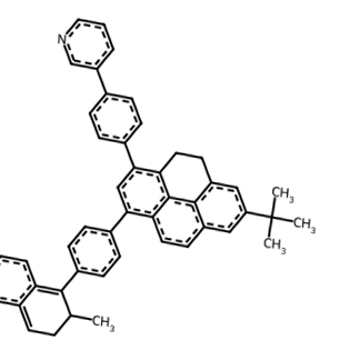 CC1CC=c2ccccc2=C1c1ccc(-c2cc(-c3ccc(-c4cccnc4)cc3)c3c4c2ccc2cc(C(C)(C)C)cc(c24)CC3)cc1